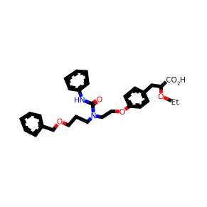 CCOC(Cc1ccc(OCCN(CCCOCc2ccccc2)C(=O)Nc2ccccc2)cc1)C(=O)O